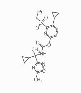 Cc1nc(C(C)(NC(=O)Oc2ccc(C3CC3)c(S(=O)(=O)CC(C)C)n2)C2CC2)no1